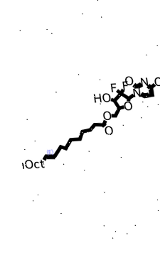 CCCCCCCC/C=C/CCCCCCCC(=O)OCC1OC(n2ccc(C)nc2=O)C(F)(F)C1O